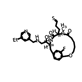 CCc1cncc(CNC[C@@H](O)[C@@H]2Cc3ccc(c(F)c3)OCCCCC(=O)N(C)[C@@H](CCC=S)C(=O)N2)c1